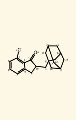 O=C1c2c(Cl)cccc2CC1CC12CC3CC(CC(C3)C1)C2